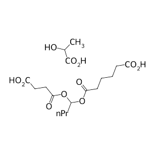 CC(O)C(=O)O.CCCC(OC(=O)CCCCC(=O)O)OC(=O)CCC(=O)O